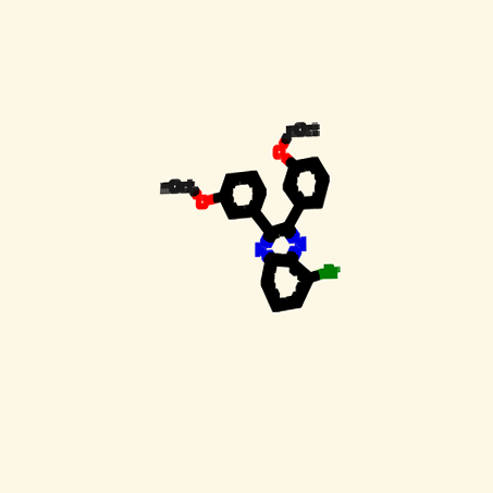 CCCCCCCCOc1cccc(-c2nc3cccc(Br)c3nc2-c2cccc(OCCCCCCCC)c2)c1